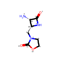 N[C@@H]1C(=O)N[C@@H]1CN1CCOC1=O